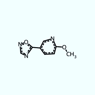 COc1ccc(-c2ncno2)cn1